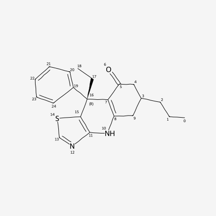 CCCC1CC(=O)C2=C(C1)Nc1ncsc1[C@]2(CC)c1ccccc1